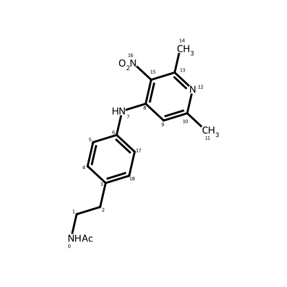 CC(=O)NCCc1ccc(Nc2cc(C)nc(C)c2[N+](=O)[O-])cc1